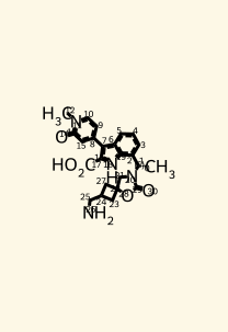 C[C@@H](c1cccc2c(-c3ccn(C)c(=O)c3)c(C(=O)O)[nH]c12)N1CC2(CC(CN)C2)OC1=O